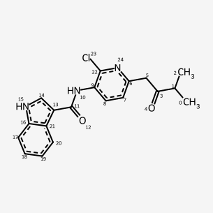 CC(C)C(=O)Cc1ccc(NC(=O)c2c[nH]c3ccccc23)c(Cl)n1